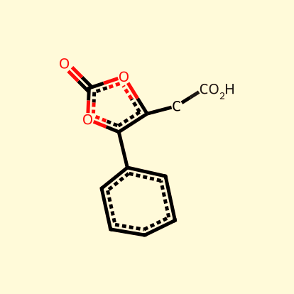 O=C(O)Cc1oc(=O)oc1-c1ccccc1